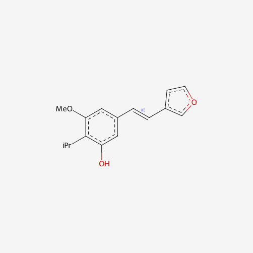 COc1cc(/C=C/c2ccoc2)cc(O)c1C(C)C